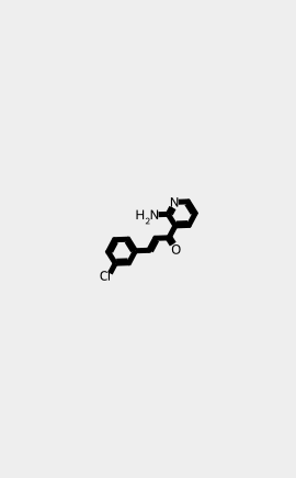 Nc1ncccc1C(=O)/C=C/c1cccc(Cl)c1